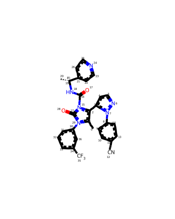 Cc1c(-c2ccnn2-c2ccc(C#N)cc2)n(C(=O)N[C@H](C)c2ccncc2)c(=O)n1-c1cccc(C(F)(F)F)c1